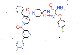 Cc1ccc(-c2cncc(C(=O)N3CC[C@@H](C(=O)N4CCC(O)(Cn5cnc(Oc6ccc(F)cc6)c(N)c5=O)CC4)[C@H](c4ccccc4)C3)c2)cn1